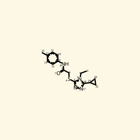 CCn1c(SCC(=O)Nc2ccc(C)cc2)nnc1C1CC1